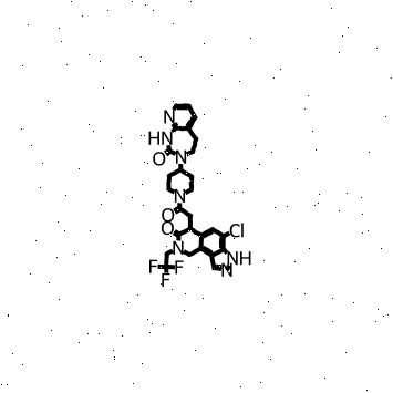 O=C(CC1C(=O)N(CC(F)(F)F)Cc2c1cc(Cl)c1[nH]ncc21)N1CCC(N2CCc3cccnc3NC2=O)CC1